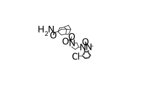 Cn1c(=O)n(C2CCN(C(=O)OC3C4CC5CC3CC(C(N)=O)(C5)C4)C2)c2c(Cl)cccc21